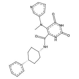 CN(c1cccnc1)c1c(C(=O)N[C@H]2CC[C@@H](c3ccccc3)CC2)[nH]c(=O)[nH]c1=O